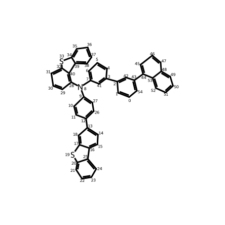 c1cc(-c2cccc(N(c3ccc(-c4ccc5c(c4)sc4ccccc45)cc3)c3cccc4sc5ccccc5c34)c2)cc(-c2cccc3ccccc23)c1